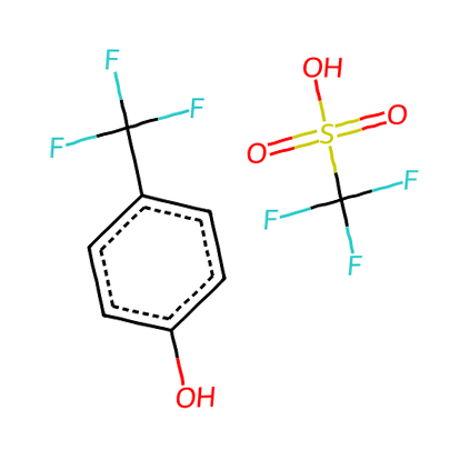 O=S(=O)(O)C(F)(F)F.Oc1ccc(C(F)(F)F)cc1